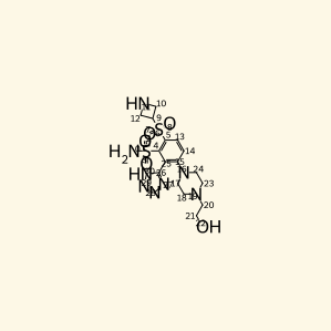 NS(=O)(=O)c1c(S(=O)(=O)C2CNC2)ccc(N2CCN(CCO)CC2)c1-c1nnn[nH]1